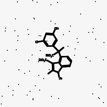 CCOC(=O)c1c(C)n(C(C)C)c2cccc(C(C)(C(=O)OCC)c3cc(O)cc(Cl)c3)c12